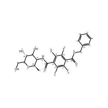 C[C@H]1OC(CO)[C@H](O)C(O)C1NC(=O)c1c(F)c(F)c(C(=O)OCc2ccccc2)c(F)c1F